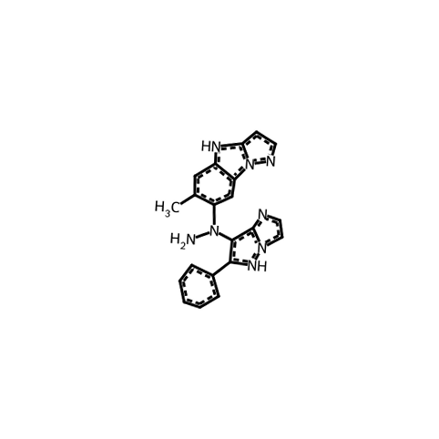 Cc1cc2[nH]c3ccnn3c2cc1N(N)c1c(-c2ccccc2)[nH]n2ccnc12